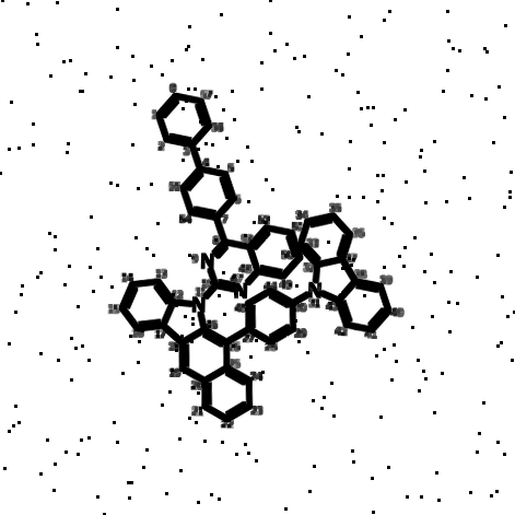 c1ccc(-c2ccc(-c3nc(-n4c5ccccc5c5cc6ccccc6c(-c6ccc(-n7c8ccccc8c8ccccc87)cc6)c54)nc4ccccc34)cc2)cc1